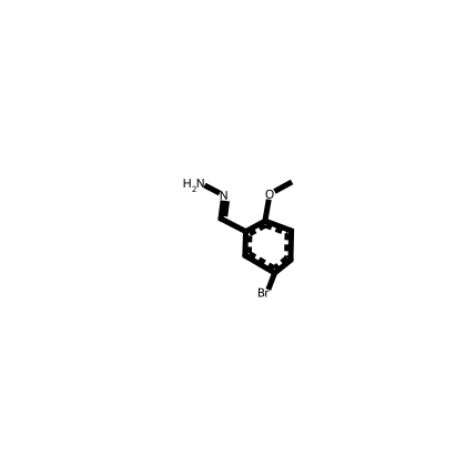 COc1ccc(Br)cc1C=NN